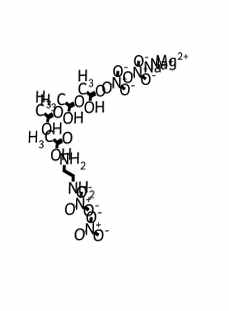 CC(=O)O.CC(=O)O.CC(=O)O.CC(=O)O.NCCN.O=[N+]([O-])[O-].O=[N+]([O-])[O-].O=[N+]([O-])[O-].O=[N+]([O-])[O-].[Mg+2].[Na+].[Na+]